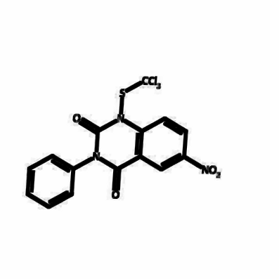 O=c1c2cc([N+](=O)[O-])ccc2n(SC(Cl)(Cl)Cl)c(=O)n1-c1ccccc1